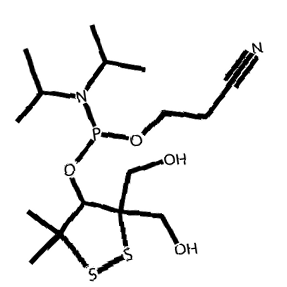 CC(C)N(C(C)C)P(OCCC#N)OC1C(C)(C)SSC1(CO)CO